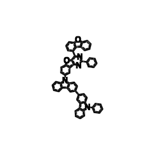 c1ccc(-c2nc(-c3cccc4oc5ccccc5c34)c3oc4ccc(-n5c6ccccc6c6cc(-c7ccc8c(c7)c7ccccc7n8-c7ccccc7)ccc65)cc4c3n2)cc1